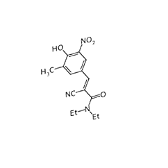 CCN(CC)C(=O)/C(C#N)=C/c1cc(C)c(O)c([N+](=O)[O-])c1